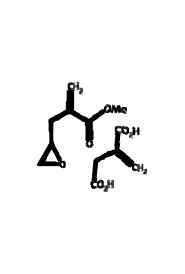 C=C(CC(=O)O)C(=O)O.C=C(CC1CO1)C(=O)OC